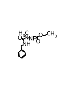 CCOC(=O)CNN(C)C(=O)NCc1ccccc1